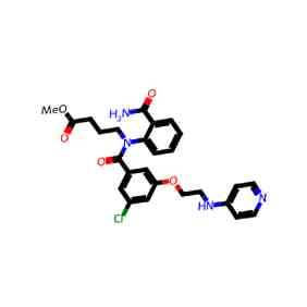 COC(=O)CCCN(C(=O)c1cc(Cl)cc(OCCNc2ccncc2)c1)c1ccccc1C(N)=O